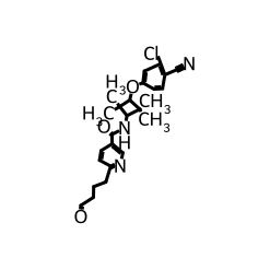 CC1(C)C(NC(=O)c2ccc(CCCC=O)nc2)C(C)(C)C1Oc1ccc(C#N)c(Cl)c1